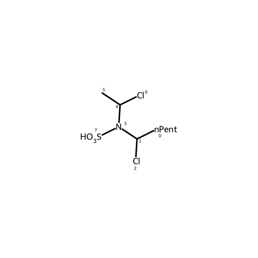 CCCCCC(Cl)N(C(C)Cl)S(=O)(=O)O